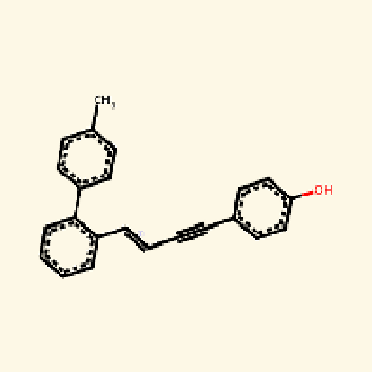 Cc1ccc(-c2ccccc2/C=C/C#Cc2ccc(O)cc2)cc1